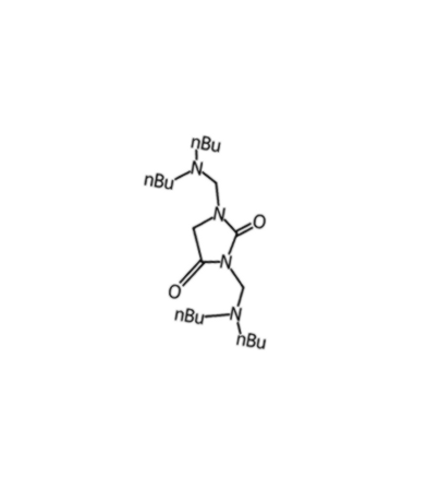 CCCCN(CCCC)CN1CC(=O)N(CN(CCCC)CCCC)C1=O